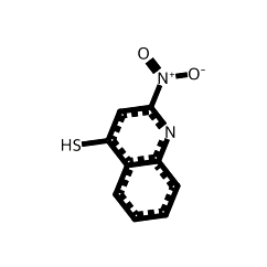 O=[N+]([O-])c1cc(S)c2ccccc2n1